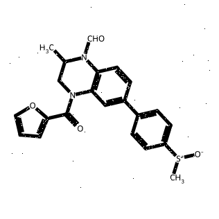 CC1CN(C(=O)c2ccco2)c2cc(-c3ccc([S+](C)[O-])cc3)ccc2N1C=O